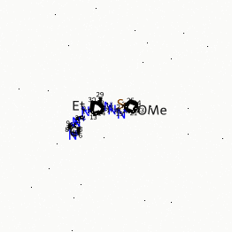 CCN(CC[N+]12CCN(CC1)CC2)c1ccc(/N=N/c2nc3cc(OC)ccc3s2)c(C)c1